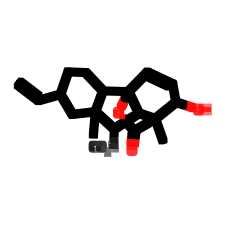 C=CC1CCC2C(C)(C1)C(C(=O)O)C1C23C=CC(O)C1(C)C(=O)O3